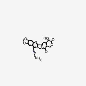 NC/C=C/c1c2c(nc3cc4c(cc13)OCO4)-c1cc3c(c(=O)n1C2)COC(=O)[C@H]3O